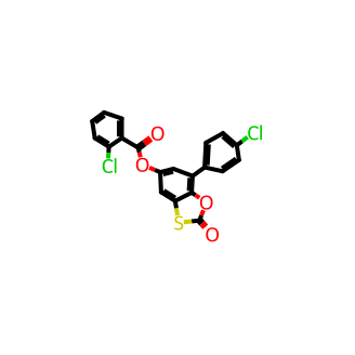 O=C(Oc1cc(-c2ccc(Cl)cc2)c2oc(=O)sc2c1)c1ccccc1Cl